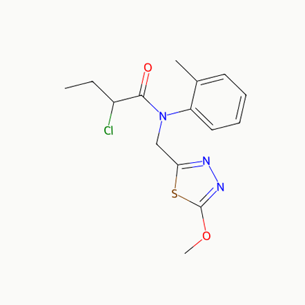 CCC(Cl)C(=O)N(Cc1nnc(OC)s1)c1ccccc1C